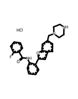 Cl.O=C(Nc1ccccc1-c1cc2ccc(CN3CCNCC3)cc2o1)c1ccccc1F